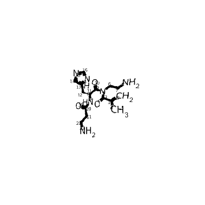 C=C(C)C(=O)N(CCN)C(=O)[C@H](Cc1cnc[nH]1)NC(=O)CCN